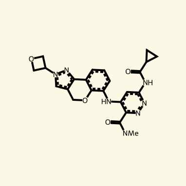 CNC(=O)c1nnc(NC(=O)C2CC2)cc1Nc1cccc2c1OCc1cn(C3COC3)nc1-2